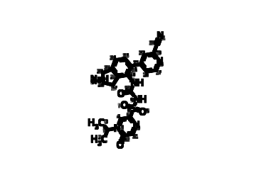 CC(C)n1cc(S(=O)(=O)NC(=O)Nc2c(-c3ccnc(C#N)c3)ccc3c2CCC3)ncc1=O.[NaH]